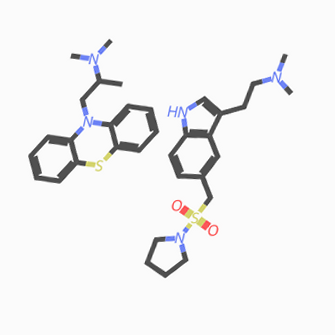 CC(CN1c2ccccc2Sc2ccccc21)N(C)C.CN(C)CCc1c[nH]c2ccc(CS(=O)(=O)N3CCCC3)cc12